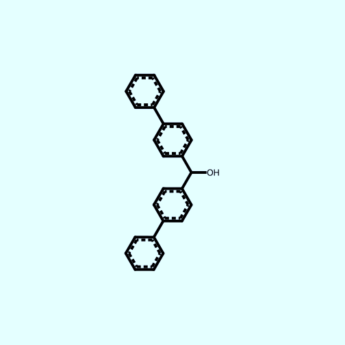 OC(c1ccc(-c2ccccc2)cc1)c1ccc(-c2ccccc2)cc1